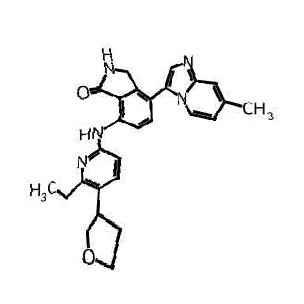 CCc1nc(Nc2ccc(-c3cnc4cc(C)ccn34)c3c2C(=O)NC3)ccc1C1CCOC1